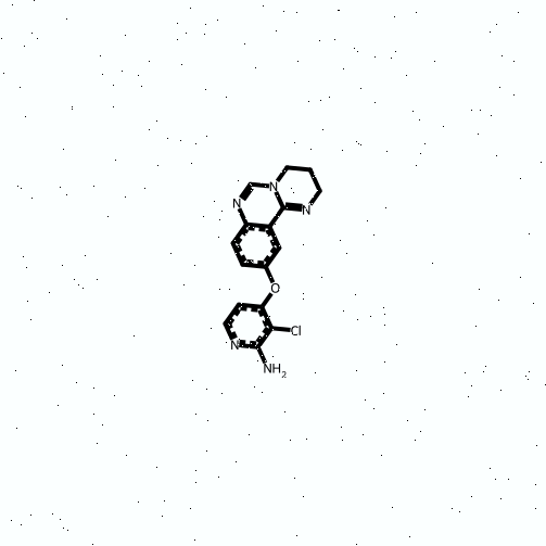 Nc1nccc(Oc2ccc3c(c2)C2=NCCCN2C=N3)c1Cl